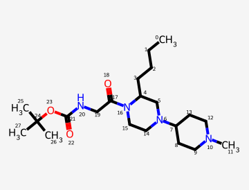 CCCCC1CN(C2CCN(C)CC2)CCN1C(=O)CNC(=O)OC(C)(C)C